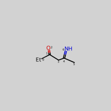 CCC(=O)CC(C)=N